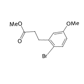 COC(=O)CCc1cc(OC)ccc1Br